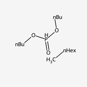 CCCCCCC.CCCCO[PH](=O)OCCCC